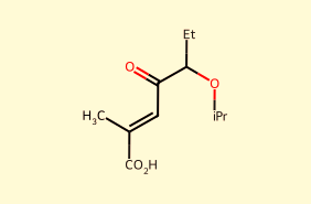 CCC(OC(C)C)C(=O)C=C(C)C(=O)O